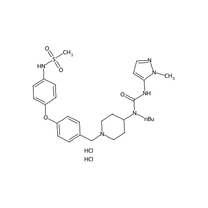 CCCCN(C(=O)Nc1ccnn1C)C1CCN(Cc2ccc(Oc3ccc(NS(C)(=O)=O)cc3)cc2)CC1.Cl.Cl